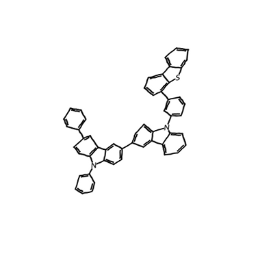 c1ccc(-c2ccc3c(c2)c2cc(-c4ccc5c(c4)c4ccccc4n5-c4cccc(-c5cccc6c5sc5ccccc56)c4)ccc2n3-c2ccccc2)cc1